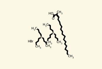 Br.CCCCCCCCCCCCCCCCC=C(C)C(=O)O.CCCCP(CCCC)CCCC.CCCCP(CCCC)CCCC